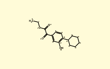 CCOC(=O)C(=O)c1ccc(C2CCCCC2)c(O)c1